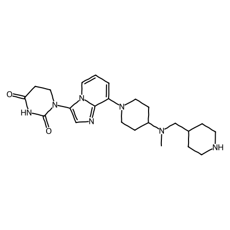 CN(CC1CCNCC1)C1CCN(c2cccn3c(N4CCC(=O)NC4=O)cnc23)CC1